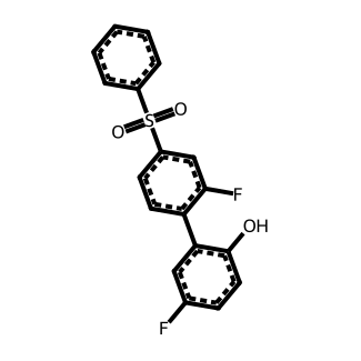 O=S(=O)(c1ccccc1)c1ccc(-c2cc(F)ccc2O)c(F)c1